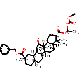 CC(C)OC(=O)O[C@@H](C)OC(=O)[C@H]1CC[C@]2(C)[C@H]3C(=O)C=C4[C@@H]5C[C@@](C)(C(=O)OCc6ccccc6)CC[C@]5(C)CC[C@@]4(C)[C@]3(C)CC[C@H]2C1(C)C